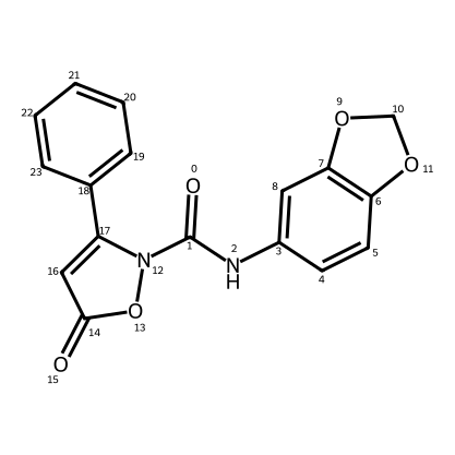 O=C(Nc1ccc2c(c1)OCO2)n1oc(=O)cc1-c1ccccc1